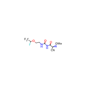 CON=C(C#N)C(=O)NC(=O)NCCOC(F)C(F)(F)F